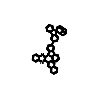 c1ccc2c(c1)-c1cc(-c3ccc4c(c3)c3ccccc3n4-c3nc4ccccc4nc3-c3ccc4ccccc4c3)ccc1C21C2CC3CC(C2)CC1C3